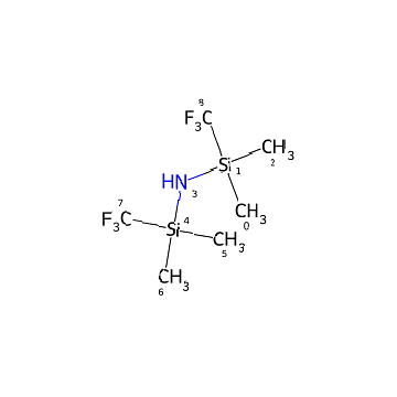 C[Si](C)(N[Si](C)(C)C(F)(F)F)C(F)(F)F